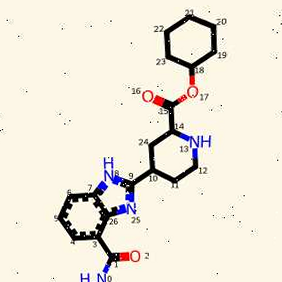 NC(=O)c1cccc2[nH]c(C3CCNC(C(=O)OC4CCCCC4)C3)nc12